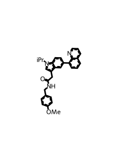 COc1ccc(CNC(=O)Cc2cn(C(C)C)c3ccc(-c4cccc5cccnc45)cc23)cc1